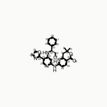 CC1(C)Cc2nc(Nc3cc(N[C@H](CO)c4ccccc4)c(-c4nnco4)cn3)ccc2C(=O)O1